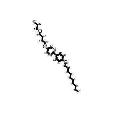 CCCCCCCCCCOc1ccc(-c2ncc(OCCCCOCCC)cn2)cc1